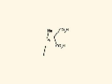 CC.C[CH](C)[Na].O=C(O)CC(=O)O